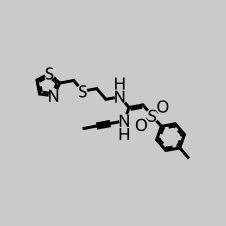 CC#CNC(=CS(=O)(=O)c1ccc(C)cc1)NCCSCc1nccs1